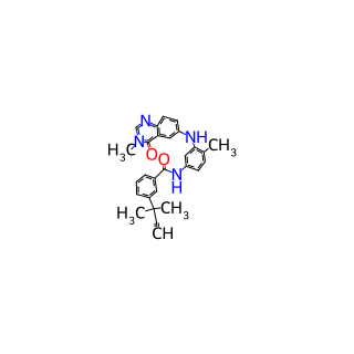 C#CC(C)(C)c1cccc(C(=O)Nc2ccc(C)c(Nc3ccc4ncn(C)c(=O)c4c3)c2)c1